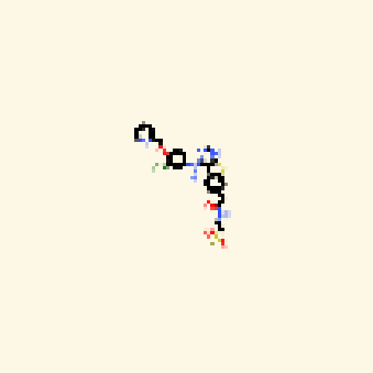 CS(=O)(=O)CCNC(=O)Cc1ccc2c(c1)sc1ncnc(Nc3ccc(OCc4ccccn4)c(Cl)c3)c12